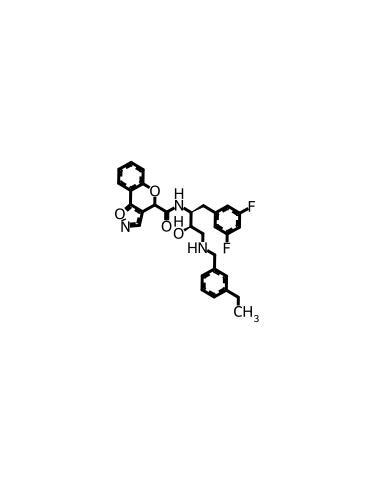 CCc1cccc(CNC[C@@H](O)[C@H](Cc2cc(F)cc(F)c2)NC(=O)C2Oc3ccccc3-c3oncc32)c1